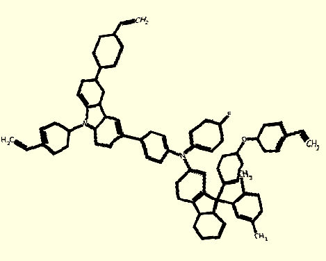 C=CC1=CCC(OC2CCC(C3(C4C=C(C)CCC4C)C4=C(CCC(N(C5=CCC(F)CC5)C5=CCC(C6=CC7C8CC(C9CCC(C=C)CC9)CC=C8N(C8CC=C(C=C)CC8)C7CC6)CC5)C4)C4CCCCC43)CC2)CC1